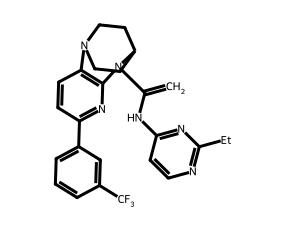 C=C(Nc1ccnc(CC)n1)N1c2nc(-c3cccc(C(F)(F)F)c3)ccc2N2CCC1CC2